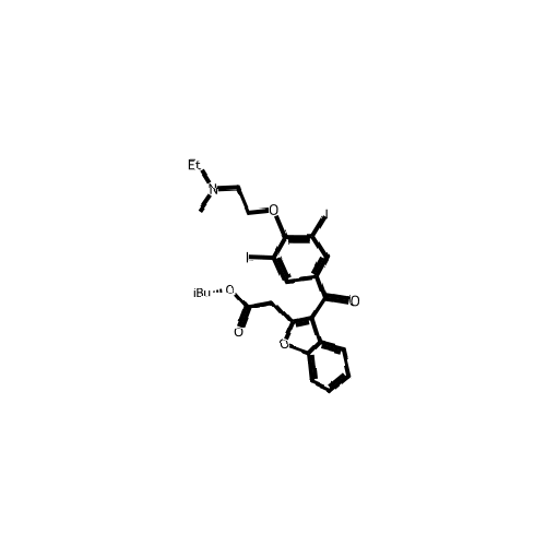 CC[C@@H](C)OC(=O)Cc1oc2ccccc2c1C(=O)c1cc(I)c(OCCN(C)CC)c(I)c1